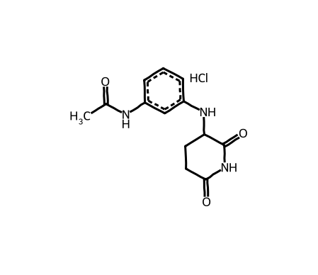 CC(=O)Nc1cccc(NC2CCC(=O)NC2=O)c1.Cl